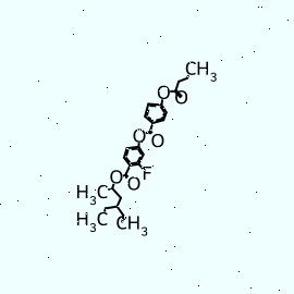 CCCC(=O)Oc1ccc(C(=O)Oc2ccc(C(=O)O[C@H](C)CC(CC)CC)c(F)c2)cc1